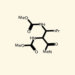 CCCC(NC(=O)OC)C(NC(=O)OC)C(=O)NC